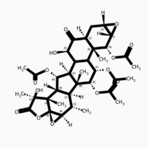 CC(=O)O[C@H]1[C@@H]2[C@H]([C@H](C)[C@H]3O[C@]34OC(=O)[C@@](C)(O)[C@]24C)[C@]2(C)[C@@H]1C1C([C@H](OC(C)=O)[C@@H]2OC(C)=O)[C@]2(C)[C@H](C[C@@H]3O[C@@H]3[C@@H]2OC(C)=O)C(=O)[C@@H]1O